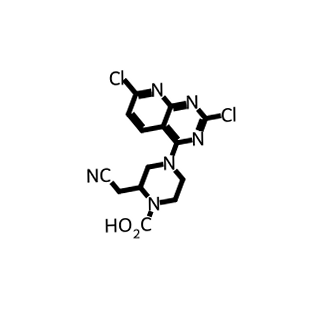 N#CCC1CN(c2nc(Cl)nc3nc(Cl)ccc23)CCN1C(=O)O